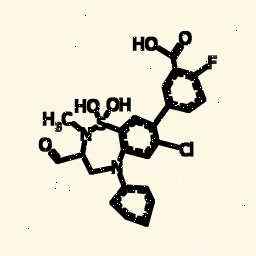 CN1C(C=O)CN(c2ccccc2)c2cc(Cl)c(-c3ccc(F)c(C(=O)O)c3)cc2S1(O)O